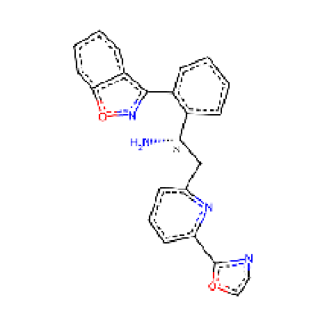 N[C@@H](Cc1cccc(-c2ncco2)n1)c1ccccc1-c1noc2ccccc12